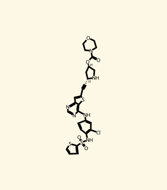 O=C(O[C@H]1CN[C@H](C#Cc2cc3ncnc(Nc4ccc(NS(=O)(=O)c5cccs5)c(Cl)c4)c3s2)C1)N1CCOCC1